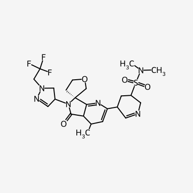 CC1C=C(C2C=NCC(S(=O)(=O)N(C)C)C2)N=C2C1C(=O)N(C1C=NN(CC(F)(F)F)C1)[C@]21CCOC1